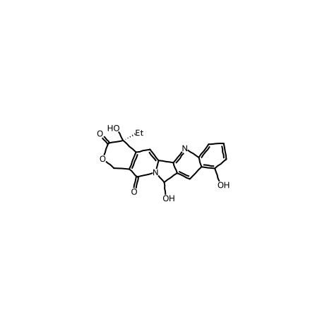 CC[C@@]1(O)C(=O)OCc2c1cc1n(c2=O)C(O)c2cc3c(O)cccc3nc2-1